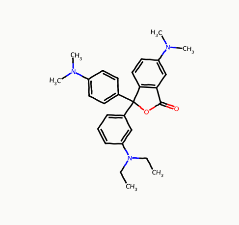 CCN(CC)c1cccc(C2(c3ccc(N(C)C)cc3)OC(=O)c3cc(N(C)C)ccc32)c1